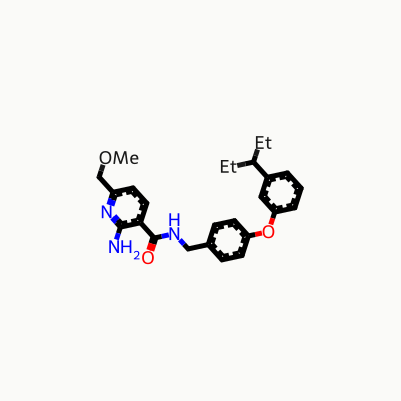 CCC(CC)c1cccc(Oc2ccc(CNC(=O)c3ccc(COC)nc3N)cc2)c1